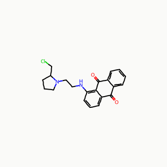 O=C1c2ccccc2C(=O)c2c(NCCN3CCCC3CCl)cccc21